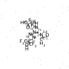 C[C@H]1COCCN1C[C@H]1CNCCN1c1ncc(C(O)(C(F)(F)F)C(F)(F)F)cn1.O=C(O)C(F)(F)F